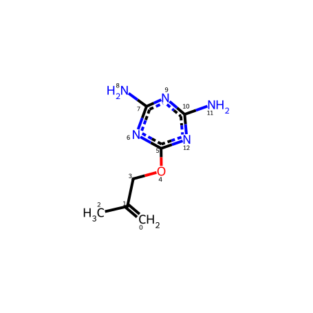 C=C(C)COc1nc(N)nc(N)n1